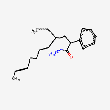 CCCCCCCC(CC)CC(C(N)=O)c1ccccc1